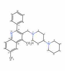 O=C(O)c1c(CN2CCC(N3CCCCC3)CC2)c(-c2ccccc2)nc2ccc(C(F)(F)F)cc12